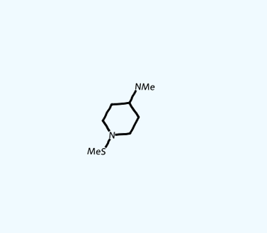 CNC1CCN(SC)CC1